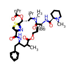 C=CCOC(=O)C(C)CC(Cc1ccccc1)NC(=O)c1csc([C@@H](C[C@H](C(C)C)N(C)C(=O)[C@@H](NC(=O)[C@H]2CCCCN2C)[C@@H](C)CC)OC(=O)CCC)n1